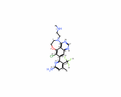 CNCCN1CCOc2c(Cl)c(-c3nc(N)cc(C)c3C(F)(F)F)cc3ncnc1c23